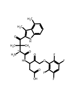 Cc1cccc2[nH]c(C(=O)C(C)(C)[C@H](N)C(=O)NC(CC(=O)O)C(=O)COc3c(F)c(F)cc(F)c3F)c(C)c12